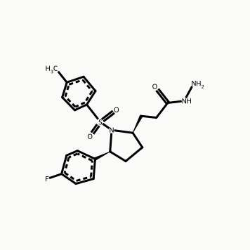 Cc1ccc(S(=O)(=O)N2[C@@H](CCC(=O)NN)CC[C@H]2c2ccc(F)cc2)cc1